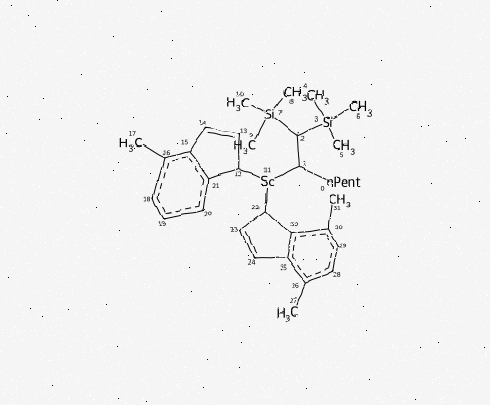 CCCCC[CH]([C]([Si](C)(C)C)[Si](C)(C)C)[Sc]([CH]1C=Cc2c(C)cccc21)[CH]1C=Cc2c(C)ccc(C)c21